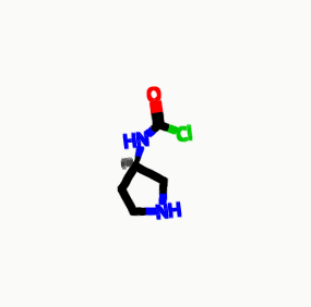 O=C(Cl)N[C@@H]1CCNC1